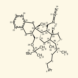 CC(C)CCC[C@@H](C)[C@H]1CC[C@H]2[C@H](CN=[N+]=[N-])[C@@H]([C@@]3(C)Cc4nccnc4C[C@@H]3CO[Si](C)(C)C(C)(C)C)CC[C@]12C